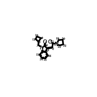 O=C(C=C1C(=O)N(CC2CCC2)c2ccccc21)N1CCCC1